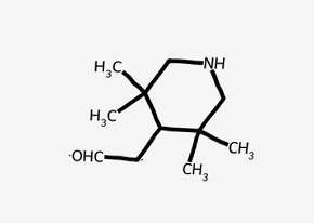 CC1(C)CNCC(C)(C)C1[CH][C]=O